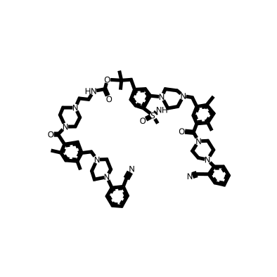 Cc1cc(C)c(C(=O)N2CCN(CCNC(=O)OC(C)(C)Cc3ccc(S(C)(=N)=O)c(N4CCN(Cc5cc(C(=O)N6CCN(c7ccccc7C#N)CC6)c(C)cc5C)CC4)c3)CC2)cc1CN1CCN(c2ccccc2C#N)CC1